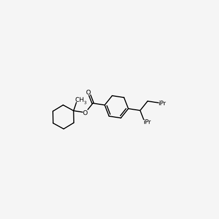 CC(C)CC(C1=CC=C(C(=O)OC2(C)CCCCC2)CC1)C(C)C